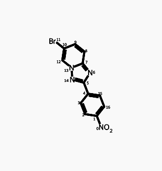 O=[N+]([O-])c1ccc(-c2nc3ccc(Br)cn3n2)cc1